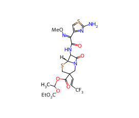 CCOC(=O)OC(C)OC(=O)C1(C=CC(F)(F)F)CS[C@@H]2C(NC(=O)C(=NOC)c3csc(N)n3)C(=O)N2C1